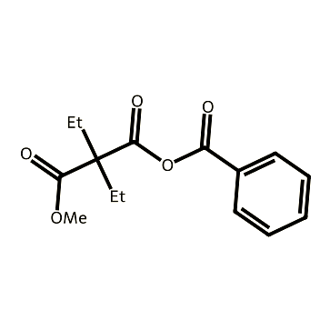 CCC(CC)(C(=O)OC)C(=O)OC(=O)c1ccccc1